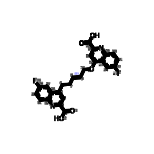 O=C(O)c1cc(CC/C=C/COc2cc(C(=O)O)nc3ccc(F)cc23)c2cc(F)ccc2n1